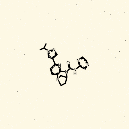 CC(C)n1cc(-c2ccc3c(n2)N(C(=O)Nc2cnccn2)C2CCN3C2)cn1